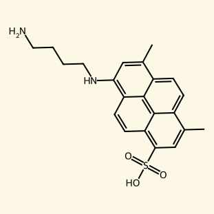 Cc1cc(NCCCCN)c2ccc3c(S(=O)(=O)O)cc(C)c4ccc1c2c43